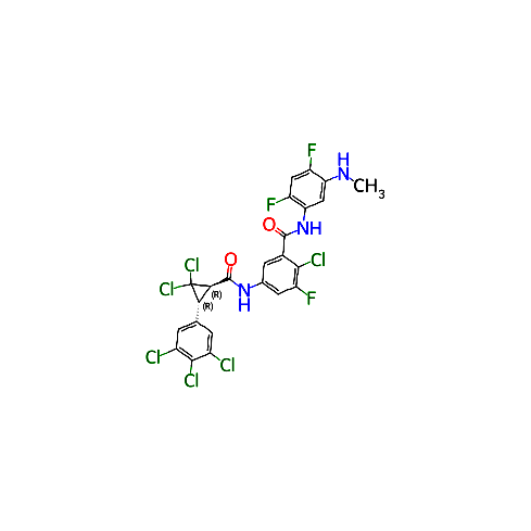 CNc1cc(NC(=O)c2cc(NC(=O)[C@H]3[C@H](c4cc(Cl)c(Cl)c(Cl)c4)C3(Cl)Cl)cc(F)c2Cl)c(F)cc1F